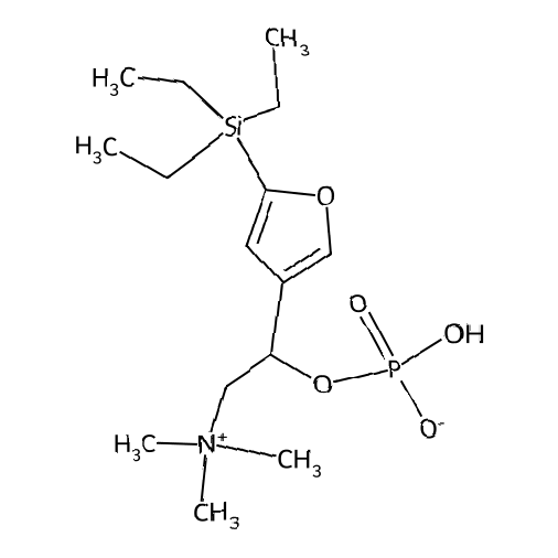 CC[Si](CC)(CC)c1cc(C(C[N+](C)(C)C)OP(=O)([O-])O)co1